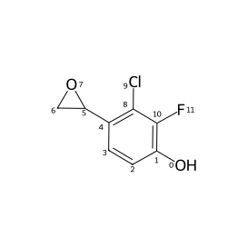 Oc1ccc(C2CO2)c(Cl)c1F